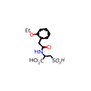 CCOc1ccccc1CC(=O)NC(CS(=O)(=O)O)C(=O)O